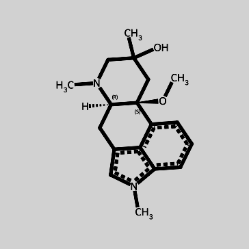 CO[C@]12CC(C)(O)CN(C)[C@@H]1Cc1cn(C)c3cccc2c13